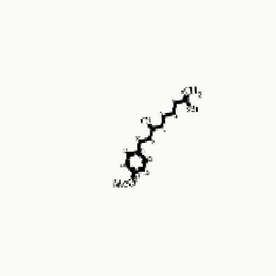 C=C(Br)CCCCC(=O)CCc1ccc(OC)cc1